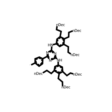 [CH2]c1ccc(-c2nc(Nc3cc(CCCCCCCCCCCC)c(CCCCCCCCCCCC)c(CCCCCCCCCCCC)c3)nc(Nc3cc(CCCCCCCCCCCC)c(CCCCCCCCCCCC)c(CCCCCCCCCCCC)c3)n2)cc1